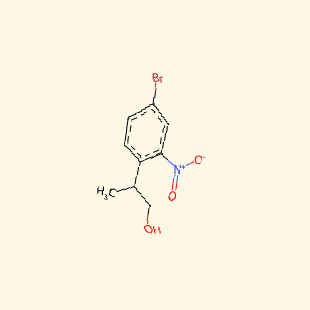 CC(CO)c1ccc(Br)cc1[N+](=O)[O-]